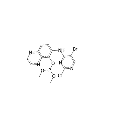 COP(OC)Oc1c(Nc2nc(Cl)ncc2Br)ccc2nccnc12